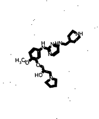 COc1ccc(Nc2nccc(NCC3CCNCC3)n2)cc1OCC(O)CN1CCCC1